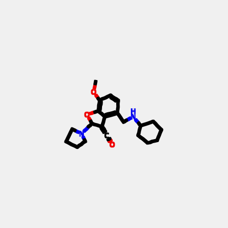 COc1ccc(CNC2CCCCC2)c2c1OC(N1CCCC1)C2=C=O